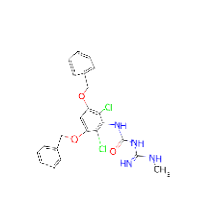 CNC(=N)NC(=O)Nc1c(Cl)c(OCc2ccccc2)cc(OCc2ccccc2)c1Cl